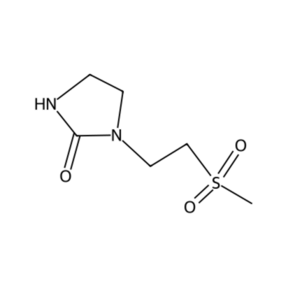 CS(=O)(=O)CCN1CCNC1=O